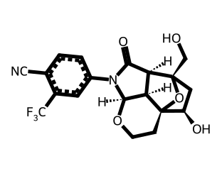 N#Cc1ccc(N2C(=O)[C@@H]3[C@@H]4[C@H]2OCC[C@]42O[C@@]3(CO)C[C@H]2O)cc1C(F)(F)F